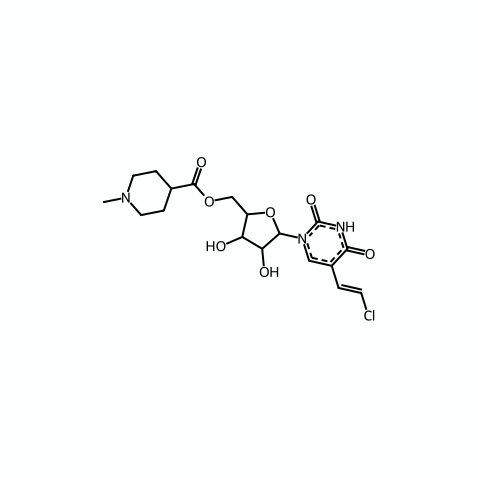 CN1CCC(C(=O)OCC2OC(n3cc(/C=C/Cl)c(=O)[nH]c3=O)C(O)C2O)CC1